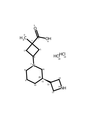 CC1(C(=O)O)CC(N2CCC[C@H](C3CNC3)C2)C1.Cl.Cl